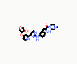 CN1CCN(C(=O)c2cc3cc(Nc4nccc(-c5cc(OC6COCC6O)ccn5)n4)ccc3[nH]2)CC1